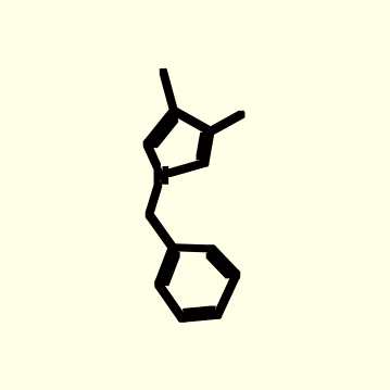 Cc1cn(Cc2ccccc2)cc1C